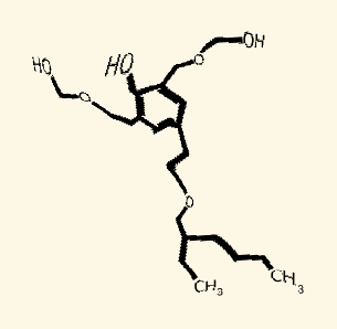 CCCCC(CC)COCCc1cc(COCO)c(O)c(COCO)c1